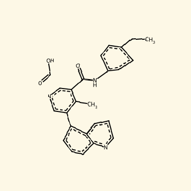 CCc1ccc(NC(=O)c2cncc(-c3cccc4ncccc34)c2C)cc1.O=CO